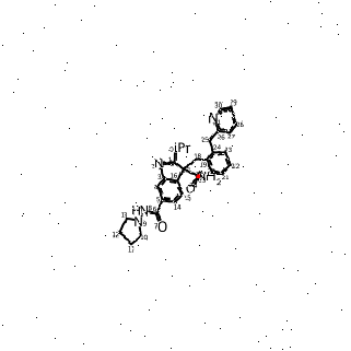 CC(C)C1=Nc2cc(C(=O)NN3CCCC3)ccc2C1(Cc1ccccc1Cc1ccccn1)C(N)=O